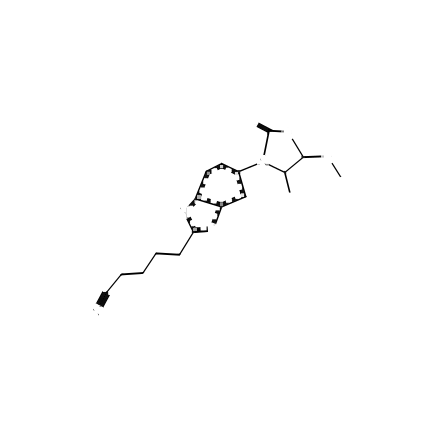 COC1OC(=O)N(c2ccc3nc(CCCCC#N)sc3c2)C1C